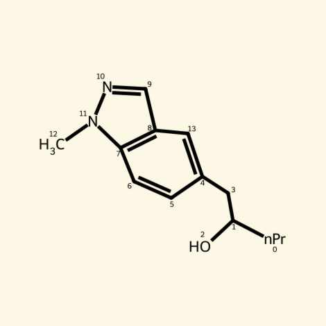 CCCC(O)Cc1ccc2c(cnn2C)c1